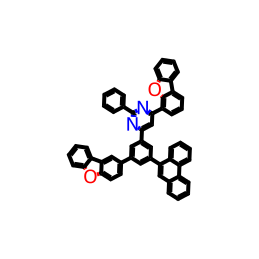 c1ccc(-c2nc(-c3cc(-c4ccc5oc6ccccc6c5c4)cc(-c4cc5ccccc5c5ccccc45)c3)cc(-c3cccc4c3oc3ccccc34)n2)cc1